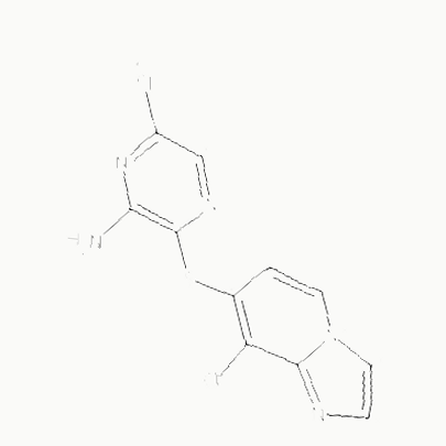 Nc1nc(Cl)cnc1Sc1ccn2ccnc2c1Cl